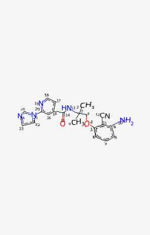 CC(C)(COc1cccc(N)c1C#N)NC(=O)c1ccnc(-n2ccnc2)c1